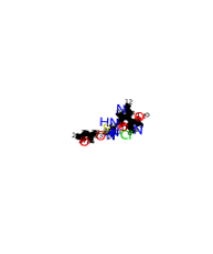 COc1cnc(Cl)cc1-c1cc(C)ncc1C(=O)Nc1nnc(OCC2COC(C)C2)s1